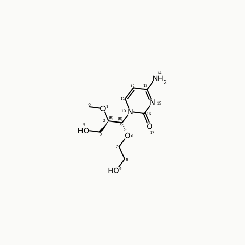 CO[C@H](CO)[C@@H](OCCO)n1ccc(N)nc1=O